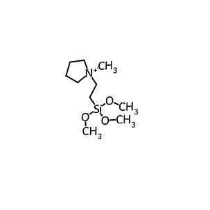 CO[Si](CC[N+]1(C)CCCC1)(OC)OC